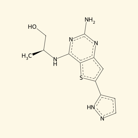 C[C@@H](CO)Nc1nc(N)nc2cc(-c3ccn[nH]3)sc12